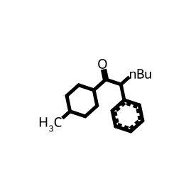 [CH2]CCCC(C(=O)C1CCC(C)CC1)c1ccccc1